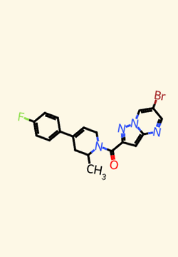 CC1CC(c2ccc(F)cc2)=CCN1C(=O)c1cc2ncc(Br)cn2n1